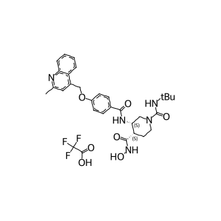 Cc1cc(COc2ccc(C(=O)N[C@@H]3CN(C(=O)NC(C)(C)C)CC[C@@H]3C(=O)NO)cc2)c2ccccc2n1.O=C(O)C(F)(F)F